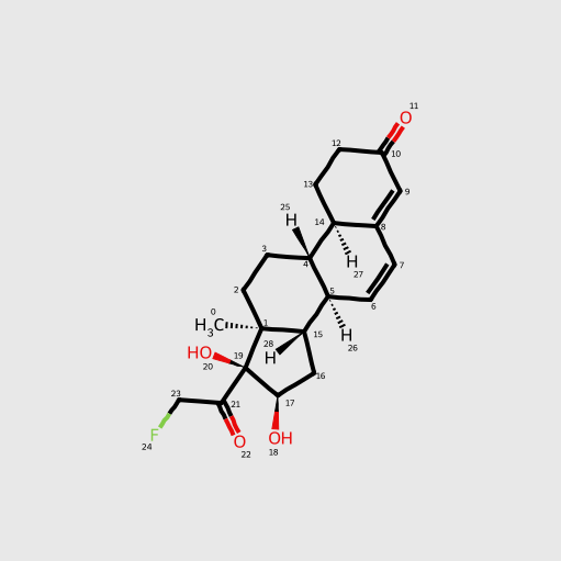 C[C@]12CC[C@H]3[C@@H](C=CC4=CC(=O)CC[C@@H]43)[C@@H]1C[C@@H](O)[C@]2(O)C(=O)CF